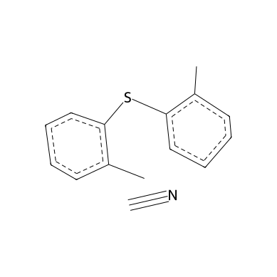 C#N.Cc1ccccc1Sc1ccccc1C